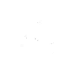 COC(OC)C(O)CN1CCN(CC(O)C(OC)OC)C2CS(=O)(=O)CC21